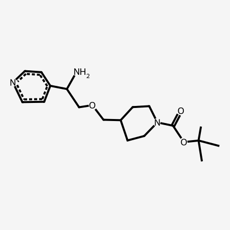 CC(C)(C)OC(=O)N1CCC(COCC(N)c2ccncc2)CC1